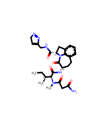 CC[C@H](C)[C@@H](C(=O)N[C@H]1CCc2cccc3c2N(C1=O)[C@H](C(=O)NCC1=CCN=N1)C3)N(C)C(=O)CC(N)=O